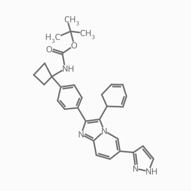 CC(C)(C)OC(=O)NC1(c2ccc(-c3nc4ccc(-c5cc[nH]n5)cn4c3C3C=CC=CC3)cc2)CCC1